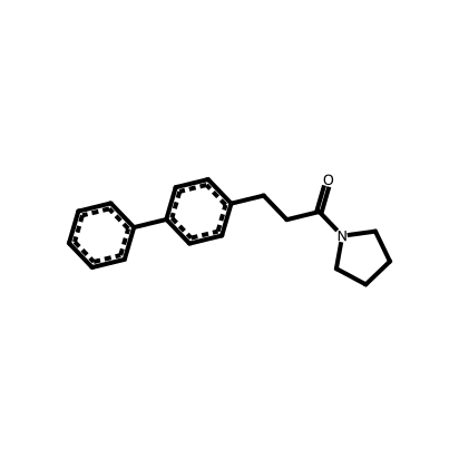 O=C(CCc1ccc(-c2ccccc2)cc1)N1CCCC1